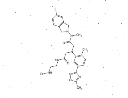 Cc1nc(-c2ccc(C)c(N(CC(=O)NCCNC(C)C)CC(=O)N(C)N3Cc4ccc(F)cc4C3)c2)no1